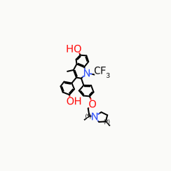 CC1=C(c2cccc(O)c2)C(c2ccc(OC[C@H](C)N3CC[C@@H](C)C3)cc2)N(CC(F)(F)F)c2ccc(O)cc21